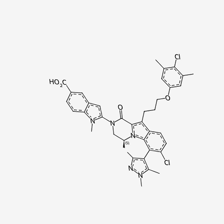 Cc1cc(OCCCc2c3n(c4c(-c5c(C)nn(C)c5C)c(Cl)ccc24)[C@@H](C)CN(c2cc4cc(C(=O)O)ccc4n2C)C3=O)cc(C)c1Cl